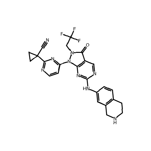 N#CC1(c2nccc(-n3c4nc(Nc5ccc6c(c5)CNCC6)ncc4c(=O)n3CC(F)(F)F)n2)CC1